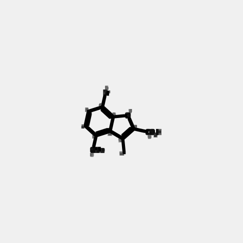 COc1ccc(Br)c2oc(C(=O)O)c(C)c12